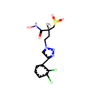 C[C@](CCn1cc(-c2cccc(Cl)c2Cl)nn1)(C[SH](=O)=O)C(=O)NO